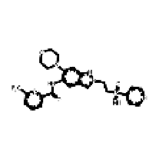 N=S(=O)(CCn1cc2cc(NC(=O)c3cccc(C(F)(F)F)n3)c(N3CCOCC3)cc2n1)c1ccncc1